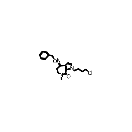 CN1CCC(=NOCc2ccccc2)c2ccn(CCCCCl)c2C1=O